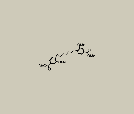 COC(=O)c1ccc(OCCCCCOc2ccc(C(=O)OC)cc2OC)c(OC)c1